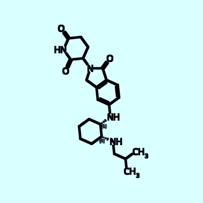 CC(C)CN[C@@H]1CCCC[C@@H]1Nc1ccc2c(c1)CN(C1CCC(=O)NC1=O)C2=O